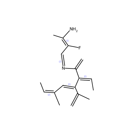 C=C(C)C(=C\C(C)=C/C)/C(=C\C)C(=C)/N=C\C(F)=C(/C)N